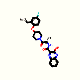 CC(=O)OCc1cc(F)ccc1OC1CCN(C(=O)[C@@H](NC(=O)c2nc3ccccc3nc2O)C(C)C)CC1